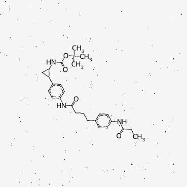 CCC(=O)Nc1ccc(CCCC(=O)Nc2ccc(C3CC3NC(=O)OC(C)(C)C)cc2)cc1